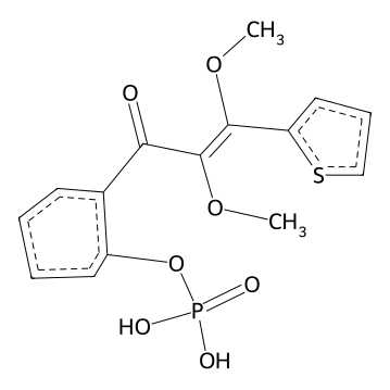 COC(C(=O)c1ccccc1OP(=O)(O)O)=C(OC)c1cccs1